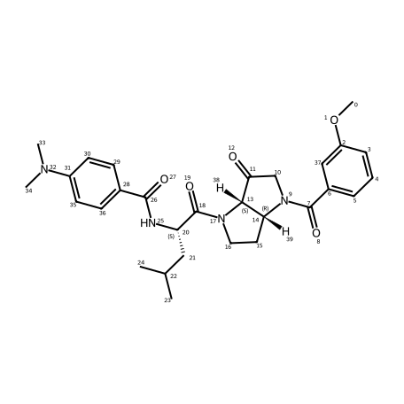 COc1cccc(C(=O)N2CC(=O)[C@@H]3[C@H]2CCN3C(=O)[C@H](CC(C)C)NC(=O)c2ccc(N(C)C)cc2)c1